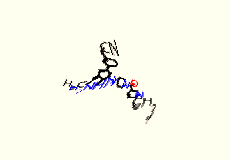 C=C/C=c1/cc(-c2cccc(CC#N)c2)cc(NC2CCN(C(=O)c3ccc(C)nc3)CC2)/c1=C/N